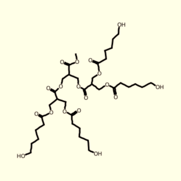 COC(=O)C(COC(=O)C(COC(=O)CCCCCO)COC(=O)CCCCCO)COC(=O)C(COC(=O)CCCCCO)COC(=O)CCCCCO